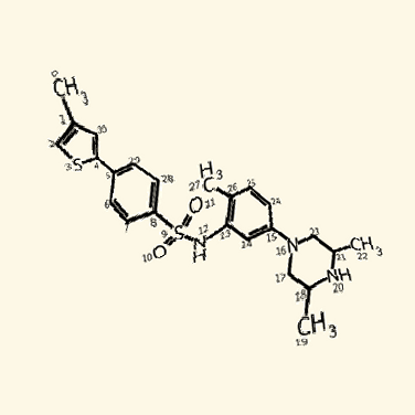 Cc1csc(-c2ccc(S(=O)(=O)Nc3cc(N4CC(C)NC(C)C4)ccc3C)cc2)c1